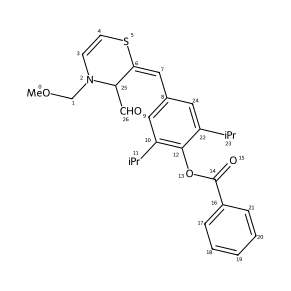 COCN1C=CSC(=Cc2cc(C(C)C)c(OC(=O)c3ccccc3)c(C(C)C)c2)C1C=O